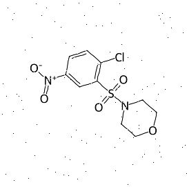 O=[N+]([O-])c1ccc(Cl)c(S(=O)(=O)N2CCOCC2)c1